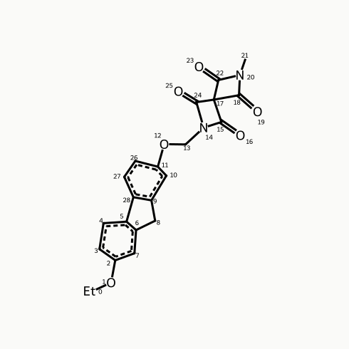 CCOc1ccc2c(c1)Cc1cc(OCN3C(=O)C4(C(=O)N(C)C4=O)C3=O)ccc1-2